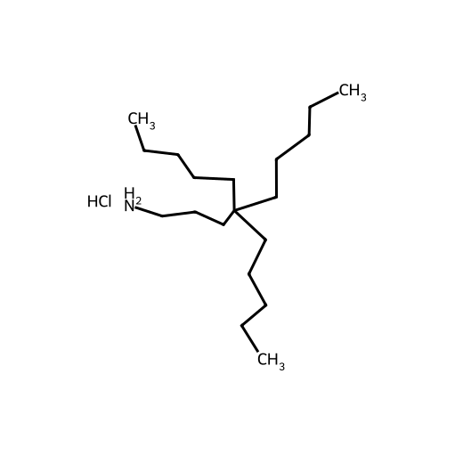 CCCCCC(CCCN)(CCCCC)CCCCC.Cl